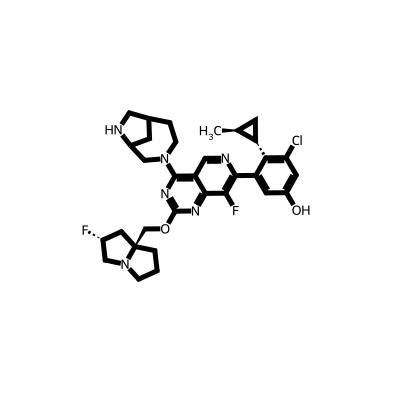 C[C@H]1C[C@@H]1c1c(Cl)cc(O)cc1-c1ncc2c(N3CCC4CNC(C4)C3)nc(OC[C@@]34CCCN3C[C@H](F)C4)nc2c1F